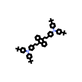 CC(C)(C)c1ccc(N(c2ccc(C=Cc3c4ccccc4c(C=Cc4ccc(N(c5ccc(C(C)(C)C)cc5)c5ccc(C(C)(C)C)cc5)cc4)c4ccccc34)cc2)c2ccc(C(C)(C)C)cc2)cc1